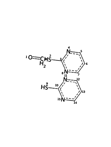 C=O.Sc1ncccn1.Sc1ncccn1